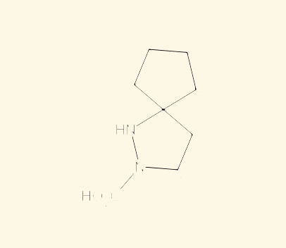 O=C(O)N1CCC2(CCCC2)N1